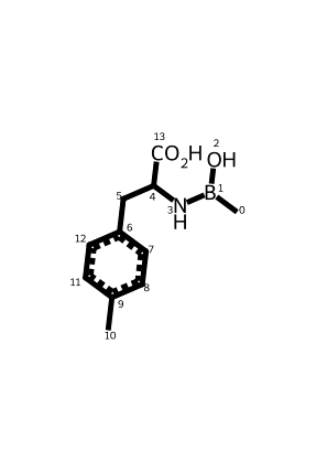 CB(O)NC(Cc1ccc(C)cc1)C(=O)O